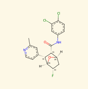 Cc1cc([C@H]2[C@H]3O[C@H](C[C@@H]3F)[C@H]2C(=O)Nc2ccc(Cl)c(Cl)c2)ccn1